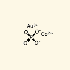 O=P([O-])([O-])[O-].[Au+3].[Co+2]